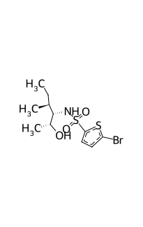 CC[C@H](C)[C@H](NS(=O)(=O)c1ccc(Br)s1)[C@@H](C)O